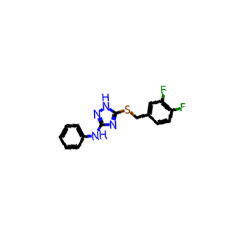 Fc1ccc(CSc2nc(Nc3ccccc3)n[nH]2)cc1F